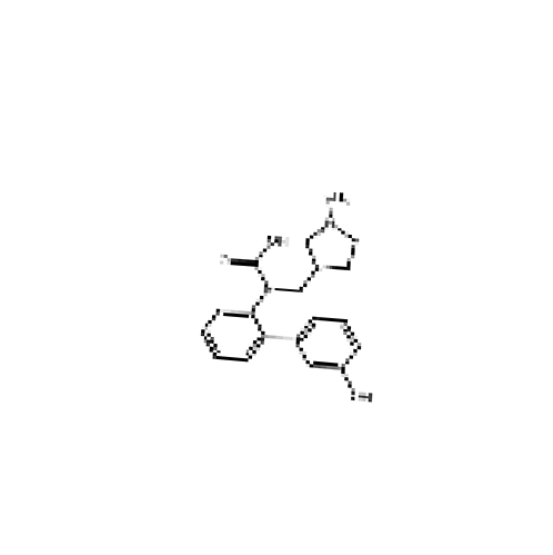 CN1CCC(CN(C(=O)O)c2ccccc2-c2cccc(O)c2)C1